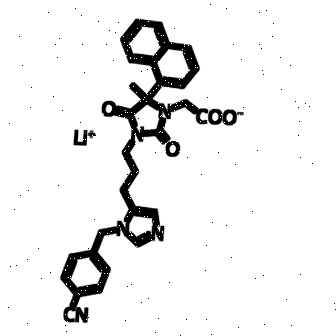 CC1(c2cccc3ccccc23)C(=O)N(CCCc2cncn2Cc2ccc(C#N)cc2)C(=O)N1CC(=O)[O-].[Li+]